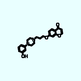 O=c1ccoc2cc(OCCCN3CCN(c4cccc(O)c4)CC3)ccc12